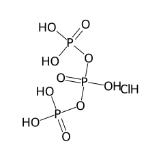 Cl.O=P(O)(O)OP(=O)(O)OP(=O)(O)O